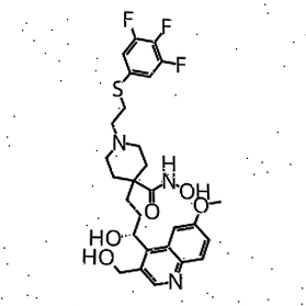 COc1ccc2ncc(CO)c([C@H](O)CCC3(C(=O)NO)CCN(CCSc4cc(F)c(F)c(F)c4)CC3)c2c1